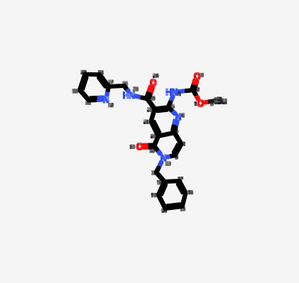 CC(C)(C)OC(=O)Nc1nc2ccn(Cc3ccccc3)c(=O)c2cc1C(=O)NCc1ccccn1